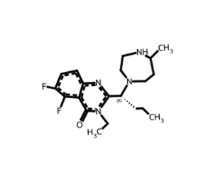 CCC[C@H](c1nc2ccc(F)c(F)c2c(=O)n1CC)N1CCNC(C)CC1